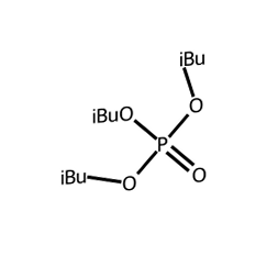 CCC(C)OP(=O)(OCC(C)C)OC(C)CC